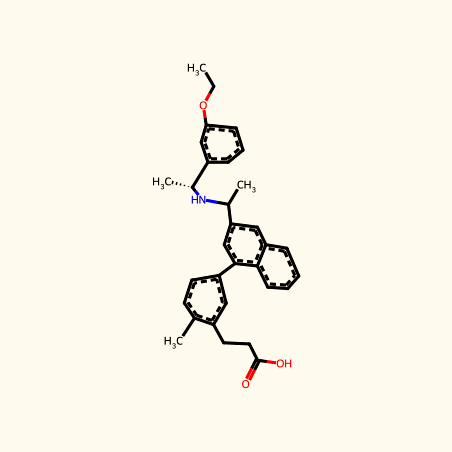 CCOc1cccc([C@@H](C)NC(C)c2cc(-c3ccc(C)c(CCC(=O)O)c3)c3ccccc3c2)c1